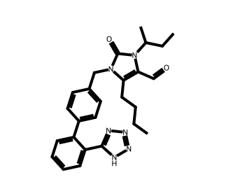 CCCCc1c(C=O)n(C(C)CC)c(=O)n1Cc1ccc(-c2ccccc2-c2nnn[nH]2)cc1